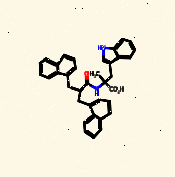 C[C@](Cc1c[nH]c2ccccc12)(NC(=O)C(Cc1cccc2ccccc12)Cc1cccc2ccccc12)C(=O)O